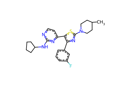 CC1CCN(c2nc(-c3cccc(F)c3)c(-c3ccnc(NC4CCCC4)n3)s2)CC1